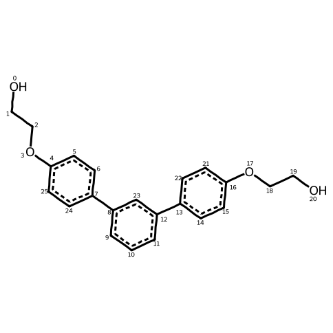 OCCOc1ccc(-c2cccc(-c3ccc(OCCO)cc3)c2)cc1